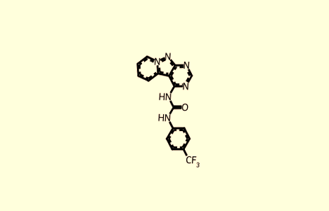 O=C(Nc1ccc(C(F)(F)F)cc1)Nc1ncnc2nn3ccccc3c12